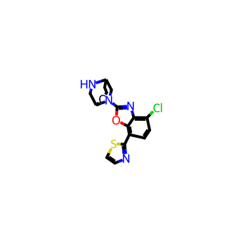 Clc1ccc(-c2nccs2)c2oc(N3CC4CCCC3CN4)nc12